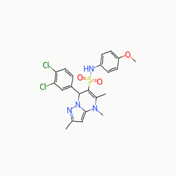 COc1ccc(NS(=O)(=O)C2=C(C)N(C)c3cc(C)nn3C2c2ccc(Cl)c(Cl)c2)cc1